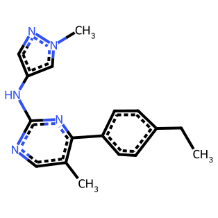 CCc1ccc(-c2nc(Nc3cnn(C)c3)ncc2C)cc1